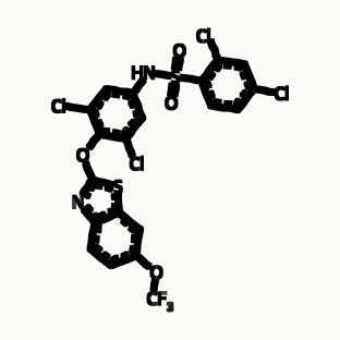 O=S(=O)(Nc1cc(Cl)c(Oc2nc3ccc(OC(F)(F)F)cc3s2)c(Cl)c1)c1ccc(Cl)cc1Cl